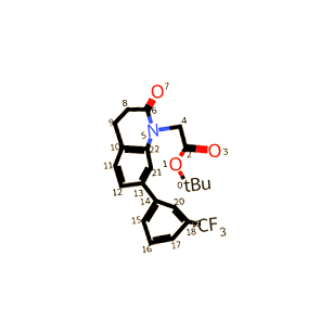 CC(C)(C)OC(=O)CN1C(=O)CCc2ccc(-c3cccc(C(F)(F)F)c3)cc21